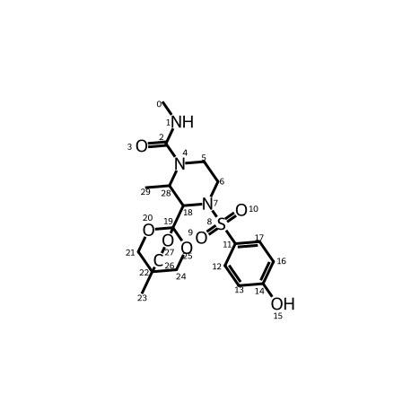 CNC(=O)N1CCN(S(=O)(=O)c2ccc(O)cc2)C(C23OCC(C)(CO2)CO3)C1C